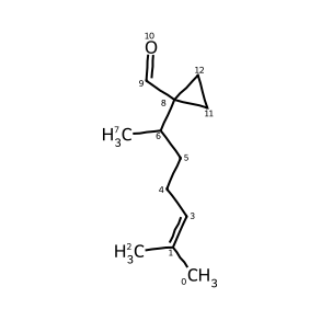 CC(C)=CCCC(C)C1(C=O)CC1